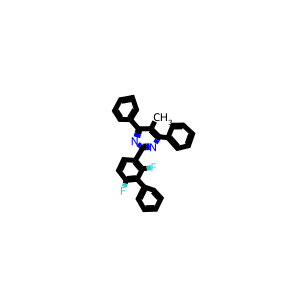 Cc1c(-c2ccccc2)nc(-c2ccc(F)c(-c3ccccc3)c2F)nc1-c1ccccc1